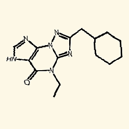 CCn1c(=O)c2[nH]cnc2n2nc(CC3CCCCC3)nc12